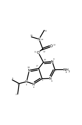 CC(C)n1nc2nc(N)nc(OC(=O)N(C)C)c2n1